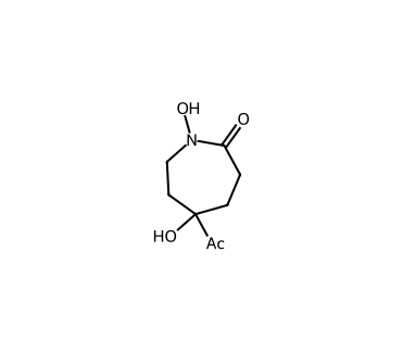 CC(=O)C1(O)CCC(=O)N(O)CC1